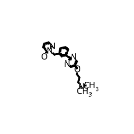 CN(C)CCCOc1cnc(-c2cccc(Cn3ncccc3=O)c2)nc1